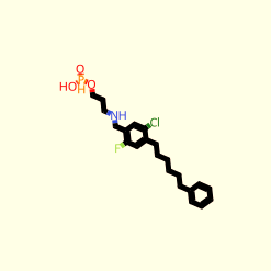 O=[PH](O)OCCCNCc1cc(Cl)c(CCCCCCc2ccccc2)cc1F